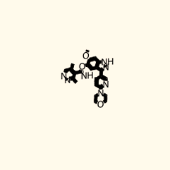 COc1cc2[nH]nc(-c3ccc(N4CCOCC4)nc3)c2cc1O[C@H](N)c1c(C)cnnc1C